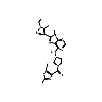 CCn1ncc(-c2nc3c(N[C@H]4CCN(C(=O)c5nc(C)oc5C)C4)ncnc3n2C)c1C